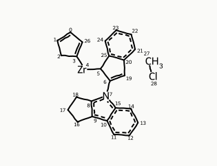 C1=CC[C]([Zr][CH]2C(n3c4c(c5ccccc53)CCC4)=Cc3ccccc32)=C1.CCl